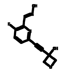 ON=Cc1nc(C#CC2(O)COC2)ccc1F